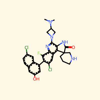 CN(C)C1CN(c2nc3c(F)c(-c4cc(O)cc5ccc(Cl)cc45)c(Cl)cc3c3c2NC(=O)C32CCCNC2)C1